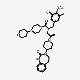 C=C(C[C@H](Cc1cc(C)c(OC(C)=O)c(Cl)c1)C(=O)N1CCN(C2CCOCC2)CC1)N1CCC(N2CCc3ccccc3NC2=O)CC1